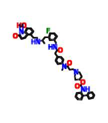 CC(Cc1cc(CNC(=O)Cc2ccc(N(C)C(=O)CCN3CCC(OC(=O)Nc4ccccc4-c4ccccc4)CC3)cc2)ccc1F)NCCc1ccc(O)c2[nH]c(=O)ccc12